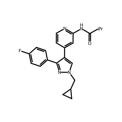 CC(C)C(=O)Nc1cc(-c2cn(CC3CC3)nc2-c2ccc(F)cc2)ccn1